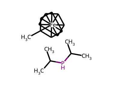 CC(C)PC(C)C.C[C]12[CH]3[CH]4[CH]5[CH]1[Fe]45321678[CH]2[CH]1[CH]6[CH]7[CH]28